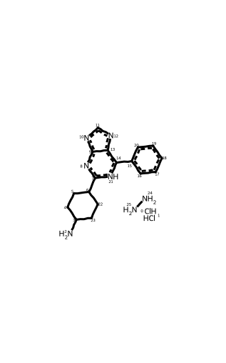 Cl.Cl.NC1CCC(c2nc3ncnc-3c(-c3ccccc3)[nH]2)CC1.NN